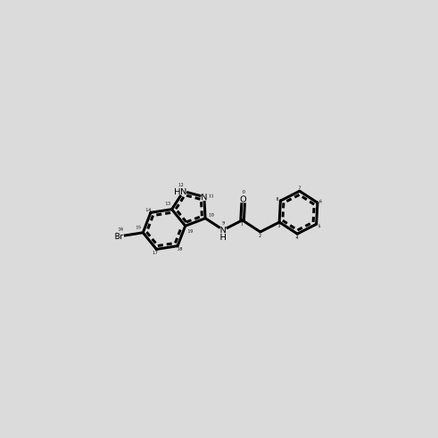 O=C(Cc1ccccc1)Nc1n[nH]c2cc(Br)ccc12